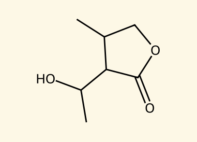 CC(O)C1C(=O)OCC1C